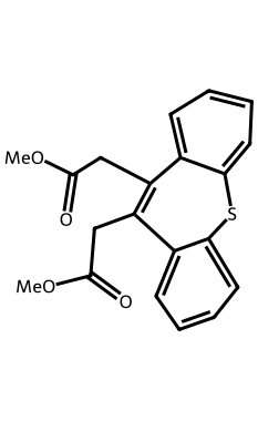 COC(=O)CC1=C(CC(=O)OC)c2ccccc2Sc2ccccc21